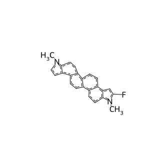 Cn1ccc2c3ccc4c(ccc5c4ccc4c5cc(F)n4C)c3ccc21